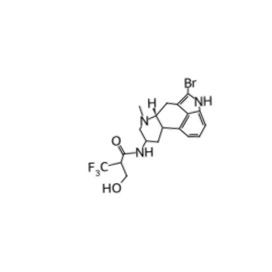 CN1CC(NC(=O)C(CO)C(F)(F)F)CC2c3cccc4[nH]c(Br)c(c34)C[C@H]21